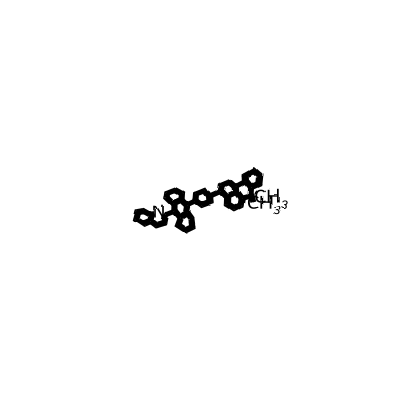 CC1(C)c2ccccc2-c2ccc(-c3ccc(-c4c5ccccc5c(-c5ccc6ccccc6n5)c5ccccc45)cc3)c3cccc1c23